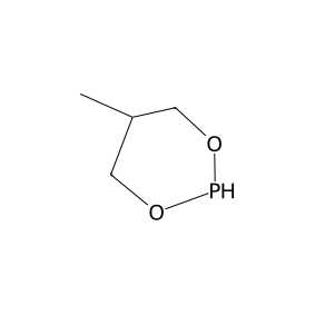 CC1COPOC1